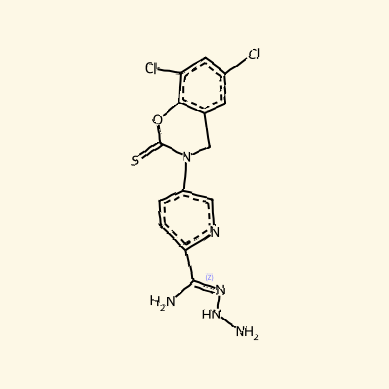 NN/N=C(\N)c1ccc(N2Cc3cc(Cl)cc(Cl)c3OC2=S)cn1